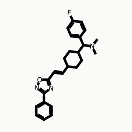 CN(C)C(c1ccc(F)cc1)C1CCC(C=Cc2nc(-c3ccccc3)no2)CC1